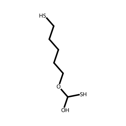 OC(S)OCCCCCS